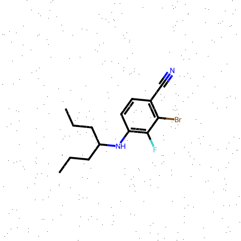 CCCC(CCC)Nc1ccc(C#N)c(Br)c1F